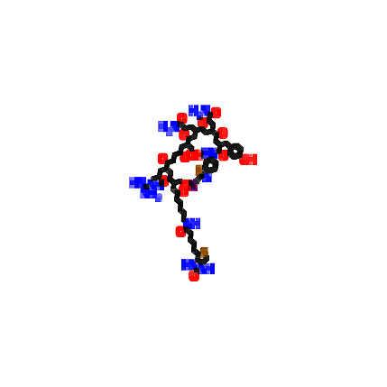 N#Cc1nc2ccc(NC(=O)C(CC(=O)C(CCC(N)=O)CC(=O)C(CCC(N)=O)CC(=O)C(CO)CC(=O)CCC(=O)C(CCCNC(=N)N)CC(=O)C(CO)CC(=O)CCCCCNC(=O)CCCCC3SCC4NC(=O)NC43)Cc3ccc(O)cc3)cc2s1